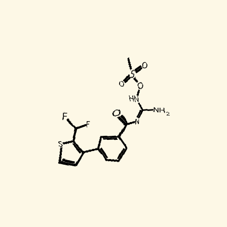 CS(=O)(=O)ONC(N)=NC(=O)c1cccc(-c2ccsc2C(F)F)c1